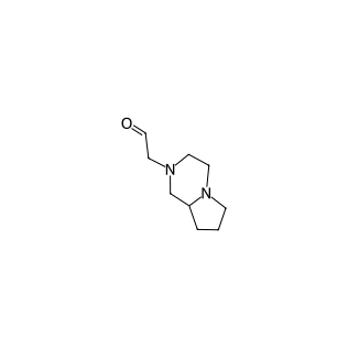 O=CCN1CCN2CCCC2C1